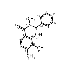 Cc1ccc(C(=O)N(C)Cc2ccccc2)c(O)c1O